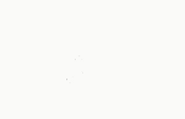 O=C1CCCC=CCCCCO1